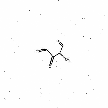 CC(C=O)C(=O)C=O